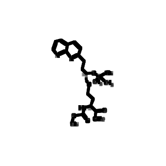 COC(=O)[C@H](CCOC[C@H](CCc1ccc2cccnc2n1)O[Si](C)(C)C(C)(C)C)NC(=O)OC(C)(C)C